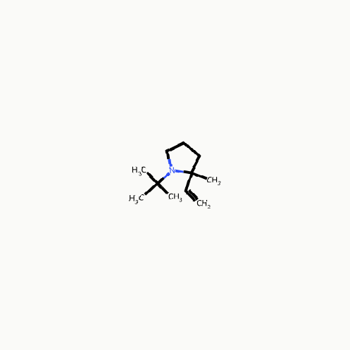 C=CC1(C)CCCN1C(C)(C)C